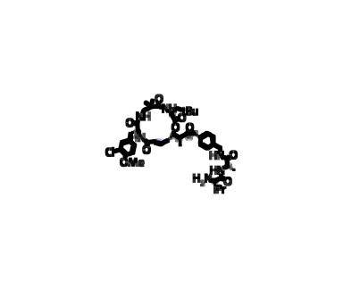 COc1ccc(C[C@H]2NC(=O)/C=C/C[C@@H]([C@H](C)[C@H]3O[C@@H]3c3ccc(CNC(=O)[C@H](C)NC(=O)[C@@H](N)C(C)C)cc3)OC(=O)[C@H](CC(C)(C)C)NC(=O)C(C)(C)CNC2=O)cc1Cl